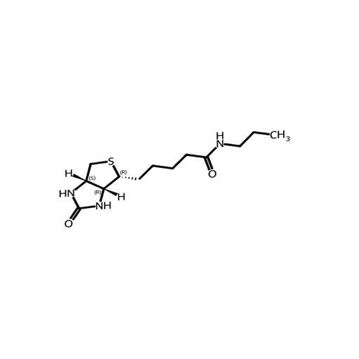 CCCNC(=O)CCCC[C@H]1SC[C@H]2NC(=O)N[C@H]21